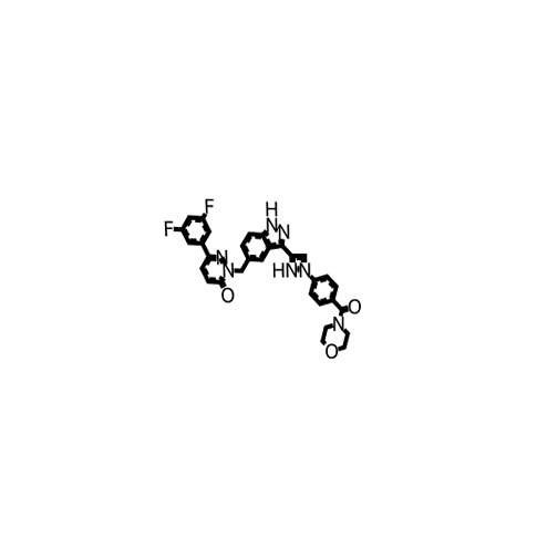 O=C(c1ccc(-n2cc(-c3n[nH]c4ccc(Cn5nc(-c6cc(F)cc(F)c6)ccc5=O)cc34)[nH]2)cc1)N1CCOCC1